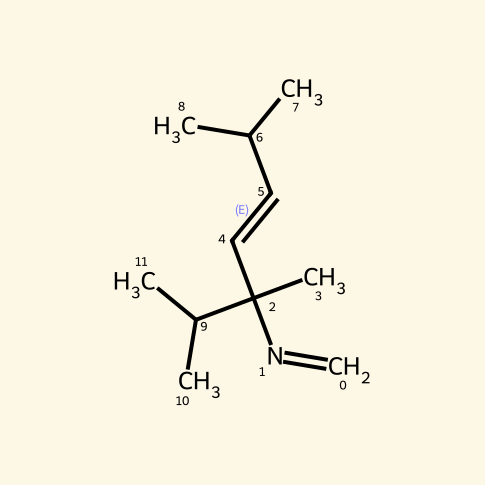 C=NC(C)(/C=C/C(C)C)C(C)C